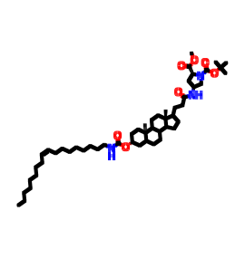 CCCCCCCC/C=C\CCCCCCCCNC(=O)O[C@@H]1CC[C@@]2(C)C(CCC3C2CC[C@]2(C)C(CCC(=O)N[C@H]4C[C@@H](C(=O)OC)N(C(=O)OC(C)(C)C)C4)CCC32)C1